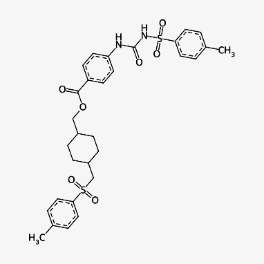 Cc1ccc(S(=O)(=O)CC2CCC(COC(=O)c3ccc(NC(=O)NS(=O)(=O)c4ccc(C)cc4)cc3)CC2)cc1